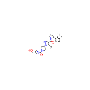 O=C(N1CCC(n2ncc(C(=O)N3CCCC3c3ccccc3C(F)(F)F)c2C2CC2)CC1)N1CC(CO)C1